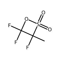 CC1(F)C(F)(F)OS1(=O)=O